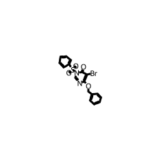 O=c1c(Br)c(OCc2ccccc2)ncn1S(=O)(=O)c1ccccc1